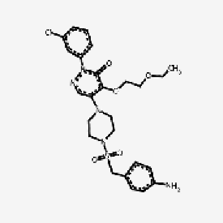 CCOCCOc1c(N2CCN(S(=O)(=O)Cc3ccc(N)cc3)CC2)cnn(-c2cccc(Cl)c2)c1=O